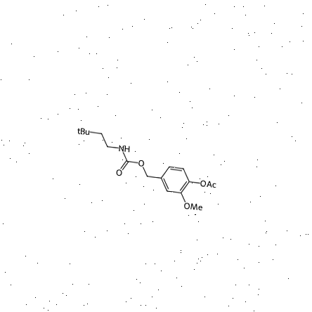 COc1cc(COC(=O)NCCC(C)(C)C)ccc1OC(C)=O